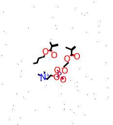 C=C(C)C(=O)OCCCC.C=C(C)C(=O)OCCOP(=O)([O-])OCC[N+](C)(C)C